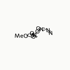 COc1cc(C)c(S(=O)(=O)N(CCOCC(=O)N2CCC(CN3CCN(C)CC3)CC2)C2CC2)c(C)c1